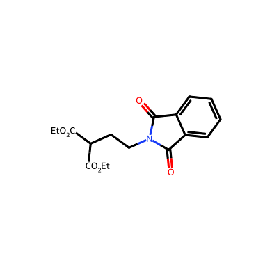 CCOC(=O)C(CCN1C(=O)c2ccccc2C1=O)C(=O)OCC